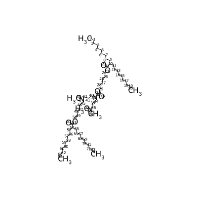 CCCCCCCCCCC(CCCCCCCCCC)C(=O)OCCCCCCOC(=O)N(CCCN(C)C)CCCN(C)CCCCCCOC(=O)C(CCCCCCCCCC)CCCCCCCCCC